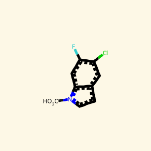 O=C(O)n1ccc2cc(Cl)c(F)cc21